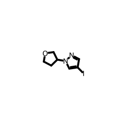 Ic1cnn(C2CCOC2)c1